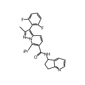 Cc1nn2c(C(C)C)c(C(=O)NC3CCc4ncccc43)ccc2c1-c1c(F)cccc1F